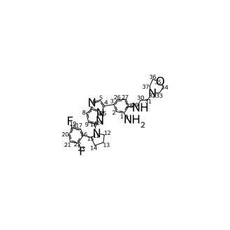 Nc1cc(-c2cnc3ccc(N4CCCC4c4cc(F)ccc4F)nn23)ccc1NCCN1CCOCC1